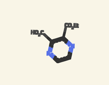 CCOC(=O)c1nccnc1C(=O)O